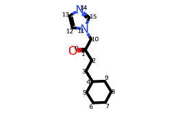 O=C(CCC1CCCCC1)Cn1ccnc1